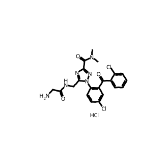 CN(C)C(=O)c1nc(CNC(=O)CN)n(-c2ccc(Cl)cc2C(=O)c2ccccc2Cl)n1.Cl